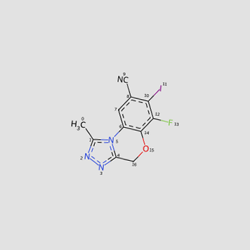 Cc1nnc2n1-c1cc(C#N)c(I)c(F)c1OC2